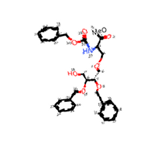 COC(=O)C(COC[C@H](OCc1ccccc1)[C@H](CO)OCc1ccccc1)NC(=O)OCc1ccccc1